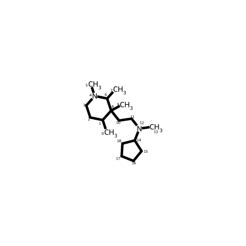 CC1CCN(C)C(C)C1(C)CCN(C)C1CCCC1